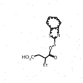 CCC(CC(=O)O)C(=O)OSc1nc2ccccc2s1